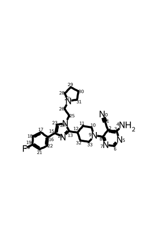 N#Cc1c(N)ncnc1N1CCC(c2nc(-c3ccc(F)cc3)cn2CCN2CCCC2)CC1